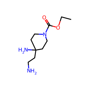 CCOC(=O)N1CCC(N)(CCN)CC1